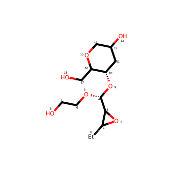 CCC1OC1[C@H](OCCO)O[C@H]1CC(O)COC1CO